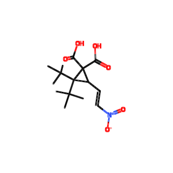 CC(C)(C)C1(C(C)(C)C)C(/C=C/[N+](=O)[O-])C1(C(=O)O)C(=O)O